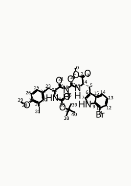 COC(=O)[C@H](Cc1c[nH]c2c(Br)cccc12)NC(=O)NC(=O)[C@H](Cc1ccc(OC)c(I)c1)NC(=O)OC(C)(C)C